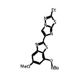 CCCCOc1cc(OC)cc2nc(-c3cn4nc(CC)sc4n3)sc12